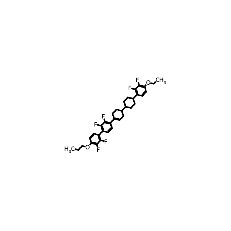 CCCOc1ccc(-c2ccc(C3=CCC(C4CCC(c5ccc(OCC)c(F)c5F)CC4)CC3)c(F)c2F)c(F)c1F